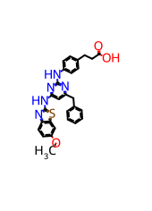 COc1ccc2nc(Nc3cc(Cc4ccccc4)nc(Nc4ccc(CCC(=O)O)cc4)n3)sc2c1